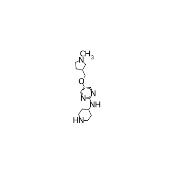 CN1CCC(COc2cnc(NC3CCNCC3)nc2)C1